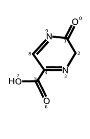 O=C1CN=C(C(=O)O)C=N1